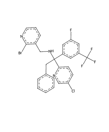 Fc1cc(C(F)(F)F)cc(C(Cc2ccccc2)(NCc2cccnc2Br)c2ccc(Cl)cn2)c1